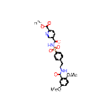 CCCOC(=O)c1ccc(C(=O)NS(=O)(=O)c2ccc(CCNC(=O)c3cc(OC)ccc3OC)cc2)cn1